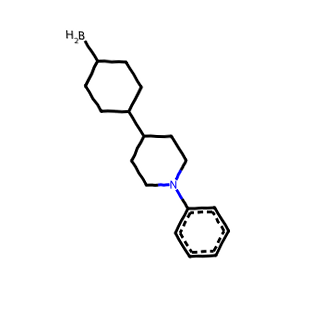 BC1CCC(C2CCN(c3ccccc3)CC2)CC1